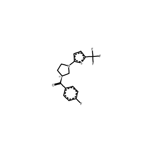 O=C(c1ccc(F)cc1)[C@H]1CCN(c2ccc(C(F)(F)F)s2)C1